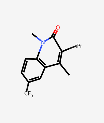 Cc1c(C(C)C)c(=O)n(C)c2ccc(C(F)(F)F)cc12